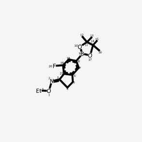 CCO/N=C1\CCc2cc(B3OC(C)(C)C(C)(C)O3)cc(F)c21